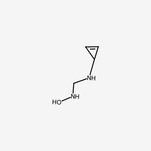 ONCNC1C=C1